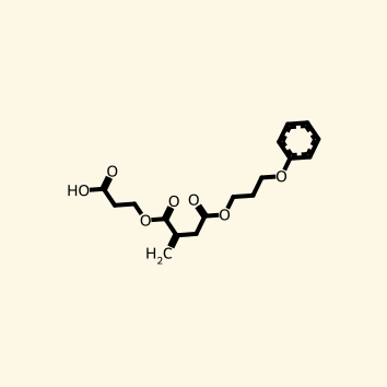 C=C(CC(=O)OCCCOc1ccccc1)C(=O)OCCC(=O)O